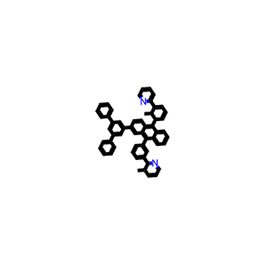 CC1C=CC=NC1c1cccc(-c2c3ccccc3c(C3C=CC=C(c4ccccn4)C3C)c3ccc(-c4cc(-c5ccccc5)cc(-c5ccccc5)c4)cc23)c1